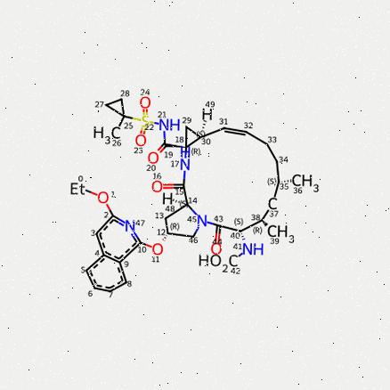 CCOc1cc2ccccc2c(O[C@@H]2C[C@H]3C(=O)N[C@]4(C(=O)NS(=O)(=O)C5(C)CC5)C[C@H]4C=CCC[C@H](C)C[C@@H](C)[C@H](NC(=O)O)C(=O)N3C2)n1